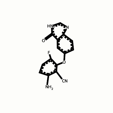 N#Cc1c(N)ccc(F)c1Oc1ccc2nc[nH]c(=O)c2c1